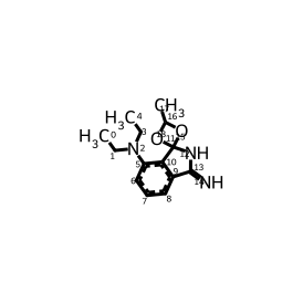 CCN(CC)c1cccc2c1C1(NC2=N)OC(C)O1